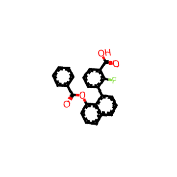 O=C(Oc1cccc2cccc(-c3cccc(C(=O)O)c3F)c12)c1ccccc1